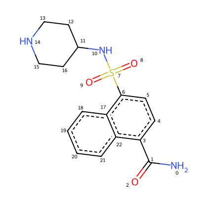 NC(=O)c1ccc(S(=O)(=O)NC2CCNCC2)c2ccccc12